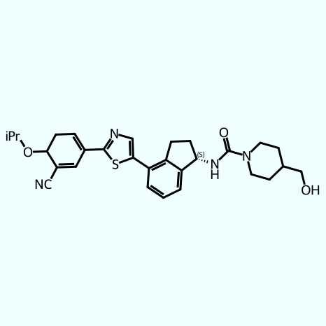 CC(C)OC1CC=C(c2ncc(-c3cccc4c3CC[C@@H]4NC(=O)N3CCC(CO)CC3)s2)C=C1C#N